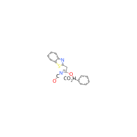 O=C=N[C@@](Cc1nc2ccccc2s1)(OCc1ccccc1)C(=O)O